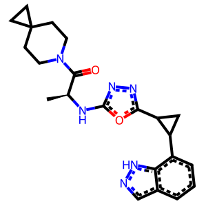 C[C@H](Nc1nnc(C2CC2c2cccc3cn[nH]c23)o1)C(=O)N1CCC2(CC1)CC2